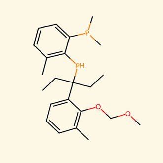 CCC(CC)(Pc1c(C)cccc1P(C)C)c1cccc(C)c1OCOC